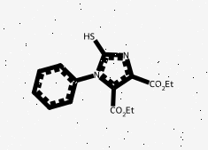 CCOC(=O)c1nc(S)n(-c2ccccc2)c1C(=O)OCC